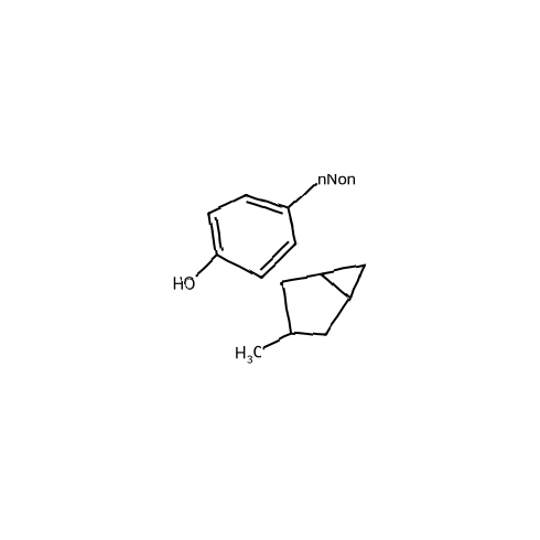 CC1CC2CC2C1.CCCCCCCCCc1ccc(O)cc1